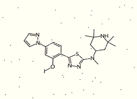 CN(c1nnc(-c2ccc(-n3cccn3)cc2OI)s1)C1CC(C)(C)NC(C)(C)C1